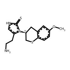 COc1ccc2c(c1)C[C@H](n1c(CCN)c[nH]c1=S)CS2